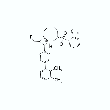 Cc1ccccc1S(=O)(=O)N1CCCCN2C(CF)C(c3ccc(-c4cccc(C)c4C)cc3)[C@@H]2C1